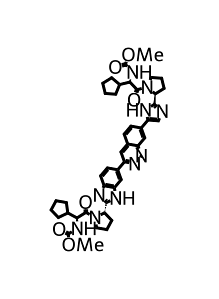 COC(=O)N[C@H](C(=O)N1CCC[C@H]1c1ncc(-c2ccc3cc(-c4ccc5nc([C@@H]6CCCN6C(=O)[C@@H](NC(=O)OC)C6CCCC6)[nH]c5c4)nnc3c2)[nH]1)C1CCCC1